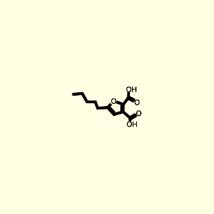 CCCCCc1cc(C(=O)O)c(C(=O)O)o1